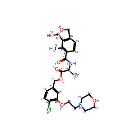 Cc1c(C(=O)N[C@H](C(=O)OCc2ccc(Cl)c(OCCN3CCOCC3)c2)C(C)C)ccc2c1B(O)OC2